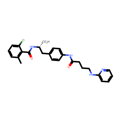 Cc1cccc(Cl)c1C(=O)N[C@@H](Cc1ccc(NC(=O)CCCNc2ccccn2)cc1)C(=O)O